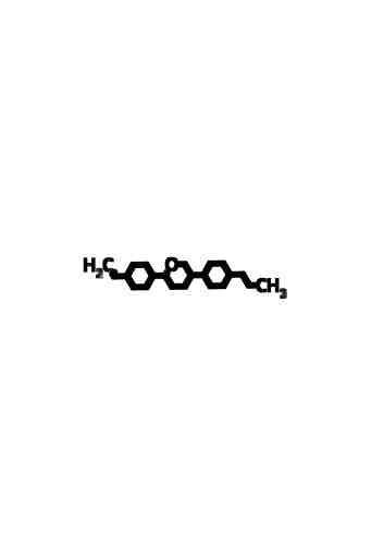 C=CC1CCC(C2CCC(C3CCC(CCC)CC3)CO2)CC1